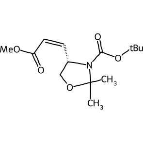 COC(=O)/C=C\[C@H]1COC(C)(C)N1C(=O)OC(C)(C)C